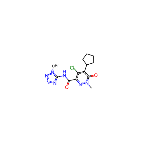 CCCn1nnnc1NC(=O)c1nn(C)c(=O)c(C2CCCC2)c1Cl